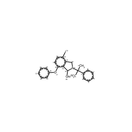 CC(C)(c1ccccc1)N1Cc2c(I)ccc(Oc3ccccc3)c2C1O